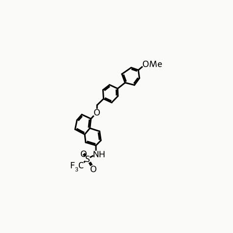 COc1ccc(-c2ccc(COc3cccc4cc(NS(=O)(=O)C(F)(F)F)ccc34)cc2)cc1